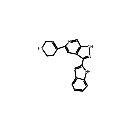 C1=C(c2cc3c(-c4nc5ccccc5[nH]4)n[nH]c3cn2)CCNC1